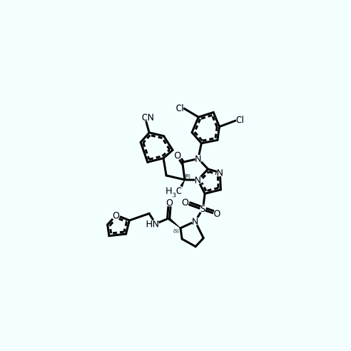 C[C@@]1(Cc2ccc(C#N)cc2)C(=O)N(c2cc(Cl)cc(Cl)c2)c2ncc(S(=O)(=O)N3CCC[C@H]3C(=O)NCc3ccco3)n21